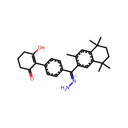 Cc1cc2c(cc1/C(=N/N)c1ccc(C3=C(O)CCCC3=O)cc1)C(C)(C)CCC2(C)C